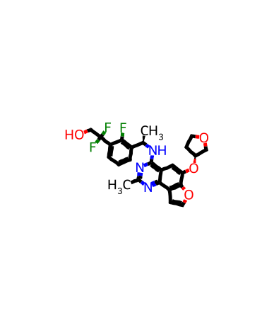 Cc1nc(N[C@H](C)c2cccc(C(F)(F)CO)c2F)c2cc(O[C@H]3CCOC3)c3occc3c2n1